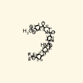 CS(=O)(=O)c1ccc(C(=O)C2CCN(C(=O)c3ccc(C(=O)NC4CCN(Cc5ccc(OC(F)(F)F)cc5)C[C@H]4F)nc3)CC2)cc1